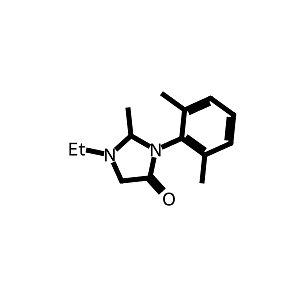 CCN1CC(=O)N(c2c(C)cccc2C)C1C